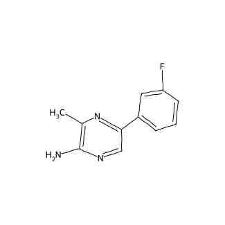 Cc1nc(-c2cccc(F)c2)cnc1N